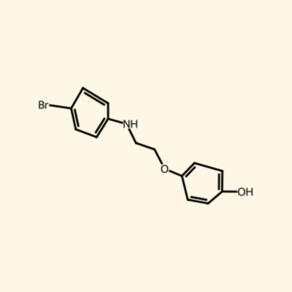 Oc1ccc(OCCNc2ccc(Br)cc2)cc1